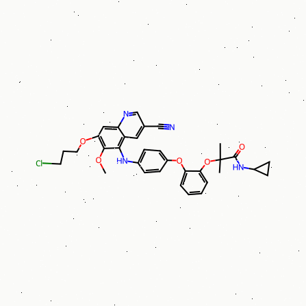 COc1c(OCCCCl)cc2ncc(C#N)cc2c1Nc1ccc(Oc2ccccc2OC(C)(C)C(=O)NC2CC2)cc1